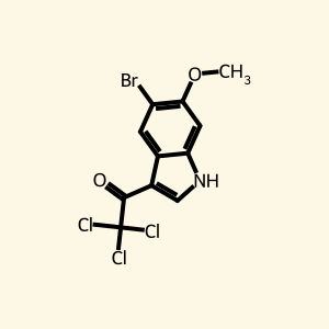 COc1cc2[nH]cc(C(=O)C(Cl)(Cl)Cl)c2cc1Br